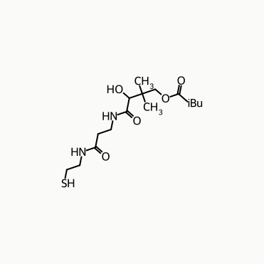 CCC(C)C(=O)OCC(C)(C)C(O)C(=O)NCCC(=O)NCCS